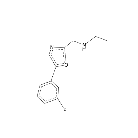 CCNCc1ncc(-c2cccc(F)c2)o1